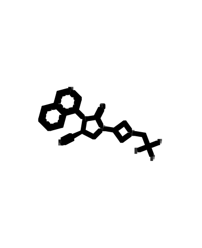 N#C[C@@H]1CN(C2CN(CC(F)(F)F)C2)C(=O)N1c1cncc2ccccc12